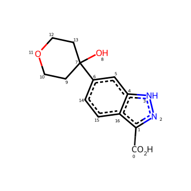 O=C(O)c1n[nH]c2cc(C3(O)CCOCC3)ccc12